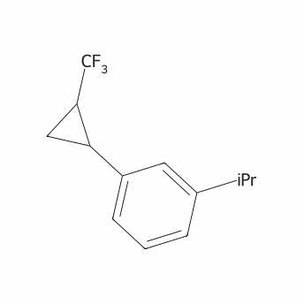 CC(C)c1cccc(C2CC2C(F)(F)F)c1